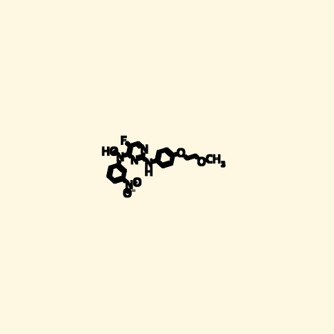 COCCOc1ccc(Nc2ncc(F)c(N(O)c3cccc([N+](=O)[O-])c3)n2)cc1